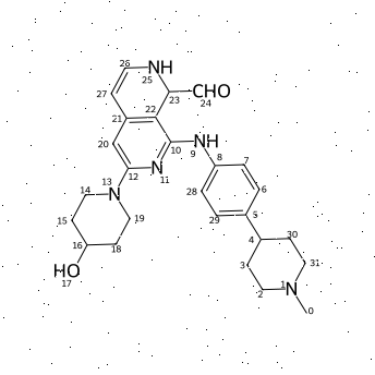 CN1CCC(c2ccc(Nc3nc(N4CCC(O)CC4)cc4c3C(C=O)NC=C4)cc2)CC1